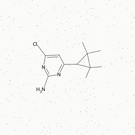 CC1(C)C(c2cc(Cl)nc(N)n2)C1(C)C